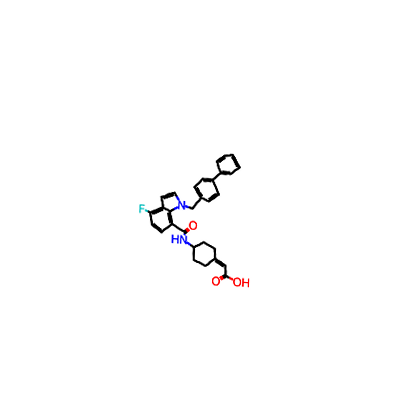 O=C(O)C=C1CCC(NC(=O)c2ccc(F)c3ccn(Cc4ccc(-c5ccccc5)cc4)c23)CC1